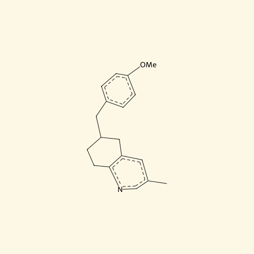 COc1ccc(CC2CCc3ncc(C)cc3C2)cc1